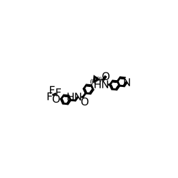 O=C(NCc1ccc(OC(F)(F)F)cc1)c1ccc([C@@H]2C[C@H]2C(=O)Nc2ccc3cnccc3c2)cc1